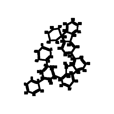 c1ccc(-c2nc(-c3ccccc3)nc(-c3cccc4c3sc3c(-c5ccc6c(c5)-c5ccccc5C65CCCCC5)cccc34)n2)cc1